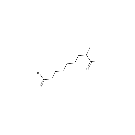 C=C(O)CCCCCCC(C)C(C)=O